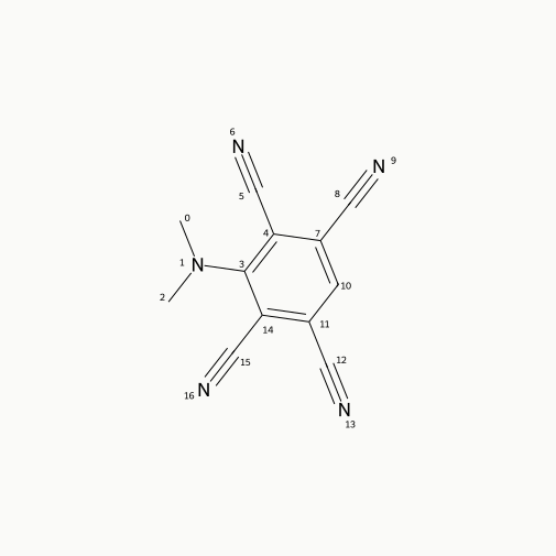 CN(C)c1c(C#N)c(C#N)cc(C#N)c1C#N